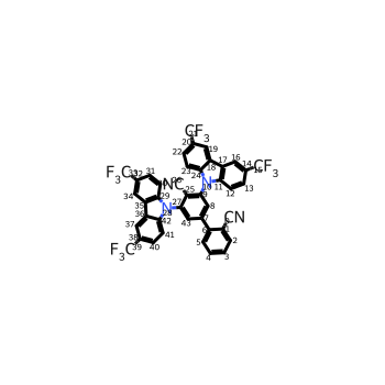 N#Cc1ccccc1-c1cc(-n2c3ccc(C(F)(F)F)cc3c3cc(C(F)(F)F)ccc32)c(C#N)c(-n2c3ccc(C(F)(F)F)cc3c3cc(C(F)(F)F)ccc32)c1